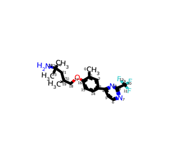 Cc1cc(-c2ccnc(C(F)(F)F)n2)ccc1OC[C@@H](C)CC(C)(C)N